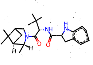 C[C@@H]1[C@@H]2CC(CN1C(=O)[C@@H](NC(=O)C1Cc3ccccc3N1)C(C)(C)C)C2(C)C